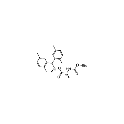 Cc1ccc(C)c(C(c2cc(C)ccc2C)[C@H](C)OC(=O)[C@H](C)NC(=O)OC(C)(C)C)c1